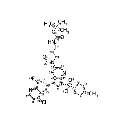 Cc1ccc(S(=O)(=O)n2cc(-c3cc(F)c4nccc(Cl)c4c3)c3cc(N(C=O)CCCNC(=O)OC(C)(C)C)cnc32)cc1